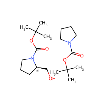 CC(C)(C)OC(=O)N1CCCC1.CC(C)(C)OC(=O)N1CCC[C@@H]1CO